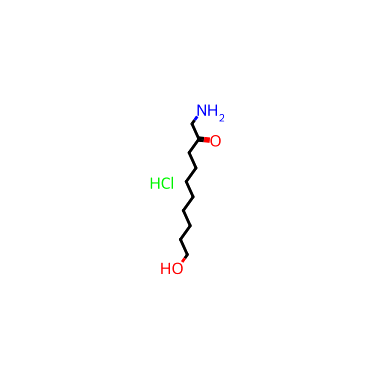 Cl.NCC(=O)CCCCCCCCO